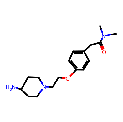 CN(C)C(=O)Cc1ccc(OCCN2CCC(N)CC2)cc1